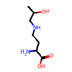 CC(O)CNCCC(N)C(=O)O